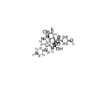 CCOc1ncccc1C1(C2CN(C3CCN(C)CC3)CCN2C(=O)O)C(=O)N(S(=O)(=O)c2ccc(OC)cc2)c2cc(F)c(Cl)cc21